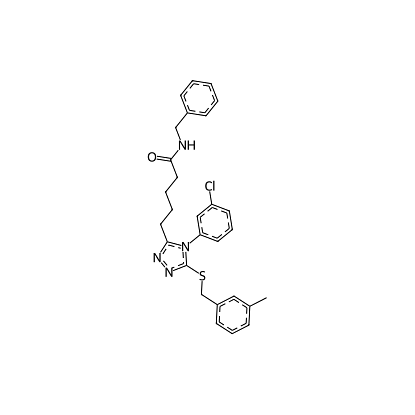 Cc1cccc(CSc2nnc(CCCCC(=O)NCc3ccccc3)n2-c2cccc(Cl)c2)c1